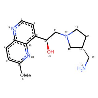 COc1ccc2nccc([C@H](O)CN3CC[C@H](CN)C3)c2n1